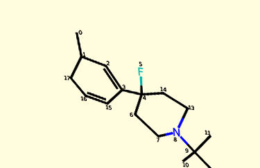 CC1C=C(C2(F)CCN(C(C)(C)C)CC2)C=CC1